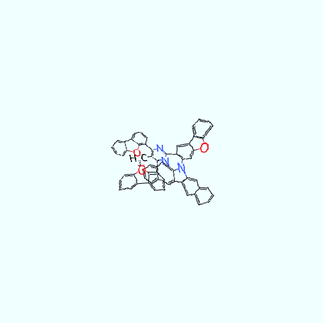 Cc1c(-c2cccc3c2oc2ccccc23)nc(-c2cc3c(cc2-n2c4cc5ccccc5cc4c4cc5ccccc5cc42)oc2ccccc23)nc1-c1cccc2c1oc1ccccc12